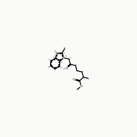 COC(=O)C(C)CCCC(=O)Cn1c(C)nc2ccccc21